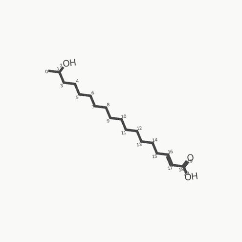 CC(O)CCCCCCCCCCCCCC=CC(=O)O